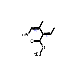 C/C=C(C(=O)OC(C)(C)C)\C(C)=C/CCC